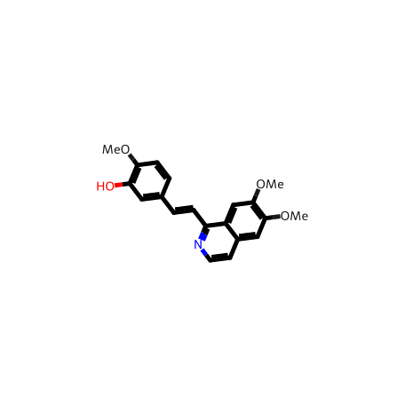 COc1ccc(/C=C/c2nccc3cc(OC)c(OC)cc23)cc1O